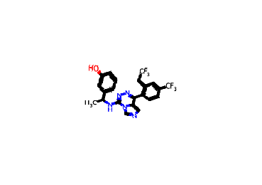 CC(Nc1nnc(-c2ccc(C(F)(F)F)cc2CC(F)(F)F)c2cncn12)c1cccc(O)c1